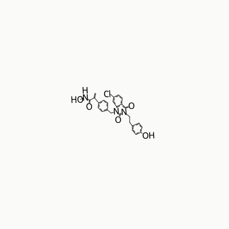 C=C(C(=O)NO)c1ccc(Cn2c(=O)n(CCc3ccc(O)cc3)c(=O)c3ccc(Cl)cc32)cc1